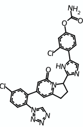 NC(=O)Oc1ccc(-c2cnc(C3CCc4cc(-c5cc(Cl)ccc5-n5cnnn5)cc(=O)n43)[nH]2)c(Cl)c1